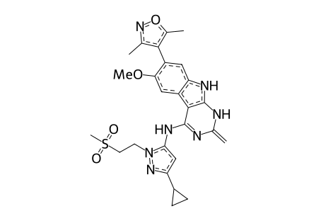 C=C1N=C(Nc2cc(C3CC3)nn2CCS(C)(=O)=O)c2c([nH]c3cc(-c4c(C)noc4C)c(OC)cc23)N1